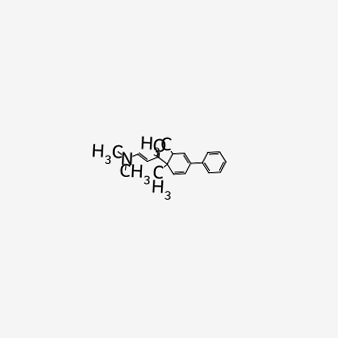 CC1C=C(c2ccccc2)C=CC1(C)C(=O)C=CN(C)C